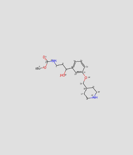 CC(C)(C)OC(=O)NCCC(O)c1cccc(OCC2CCNCC2)c1